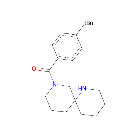 CC(C)(C)c1ccc(C(=O)N2CCCC3(CCCCN3)C2)cc1